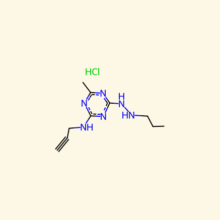 C#CCNc1nc(C)nc(NNCCC)n1.Cl